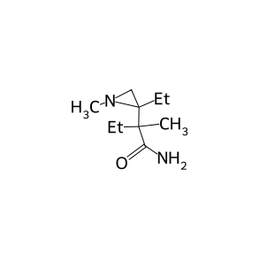 CCC(C)(C(N)=O)C1(CC)CN1C